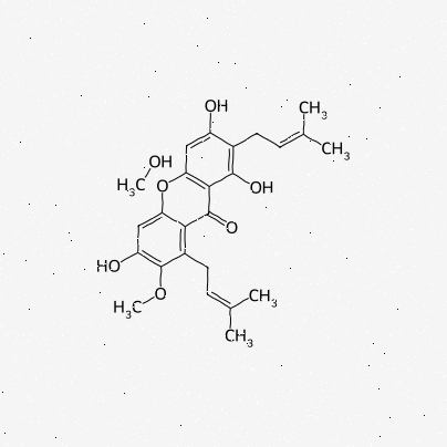 CO.COc1c(O)cc2oc3cc(O)c(CC=C(C)C)c(O)c3c(=O)c2c1CC=C(C)C